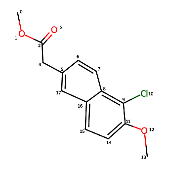 COC(=O)Cc1ccc2c(Cl)c(OC)ccc2c1